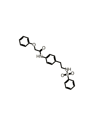 O=C(COc1ccccc1)Nc1ccc(CCNS(=O)(=O)c2ccccc2)cc1